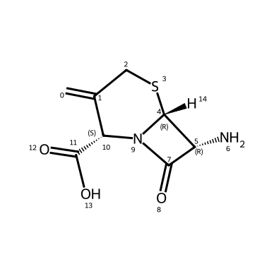 C=C1CS[C@@H]2[C@H](N)C(=O)N2[C@@H]1C(=O)O